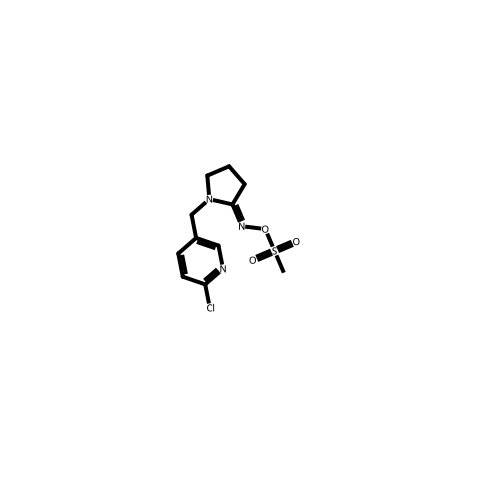 CS(=O)(=O)ON=C1CCCN1Cc1ccc(Cl)nc1